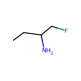 CC[C](N)CF